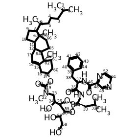 CC(C)CCC[C@@H](C)C1CCC2C3CC=C4C[C@@H](OC(=O)N(C)CC(O)C5OB([C@H](CC(C)C)NC(=O)C(Cc6ccccc6)NC(=O)c6cnccn6)O[C@@H]5C(O)CO)CC[C@]4(C)C3CC[C@@]21C